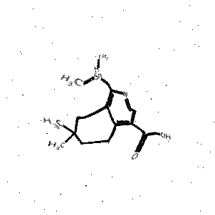 [CH3][SnH]([CH3])[c]1ncc(C(=O)O)c2c1CC(C)(C)CC2